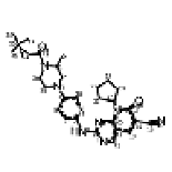 CC1CN(c2ccc(Nc3ncc4cc(C#N)c(=O)n(C5CCCC5)c4n3)nc2)CCN1C(=O)OC(C)(C)C